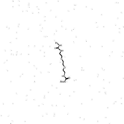 CCNC(=O)NCCOCCOCCNC(=O)NC